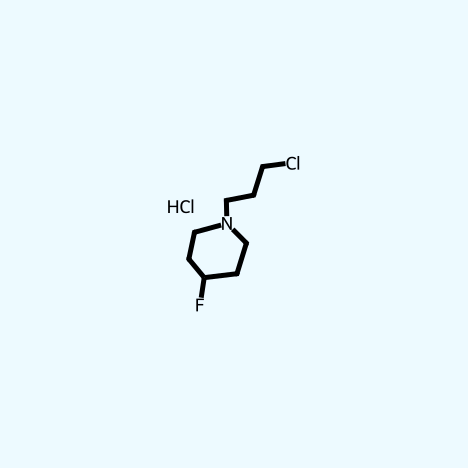 Cl.FC1CCN(CCCCl)CC1